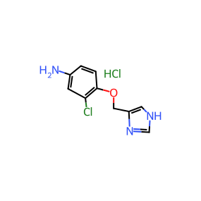 Cl.Nc1ccc(OCc2c[nH]cn2)c(Cl)c1